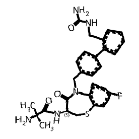 CC(C)(N)C(=O)N[C@@H]1CSc2cc(F)ccc2N(Cc2ccc(-c3ccccc3CNC(N)=O)cc2)C1=O